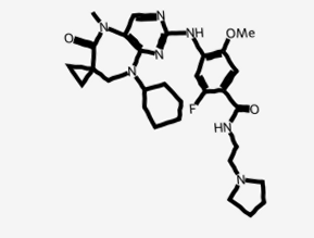 COc1cc(C(=O)NCCN2CCCC2)c(F)cc1Nc1ncc2c(n1)N(C1CCCCC1)CC1(CC1)C(=O)N2C